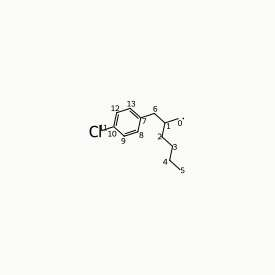 [CH2]C(CCCC)Cc1ccc(Cl)cc1